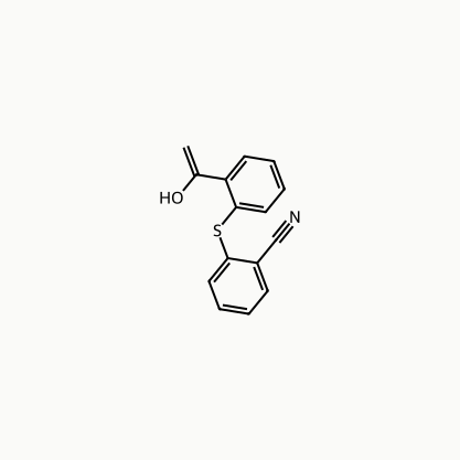 C=C(O)c1ccccc1Sc1ccccc1C#N